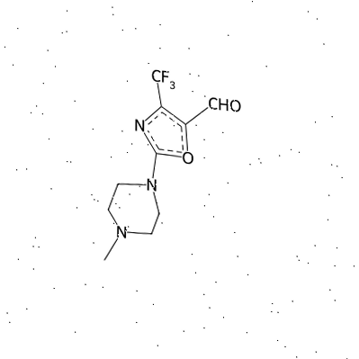 CN1CCN(c2nc(C(F)(F)F)c(C=O)o2)CC1